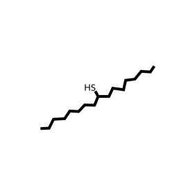 CCCCCCCCC(S)CCCCCCCC